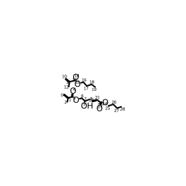 C=C(C)C(=O)OCC(C)O.C=C(C)C(=O)OCCCC.C=CC(=O)OCCCC